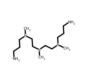 CN(CCCN)CCN(C)CCN(C)CCCN